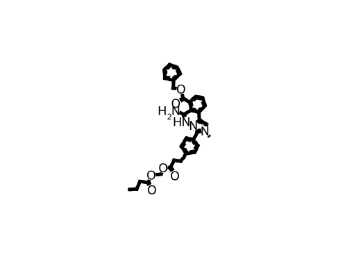 CCCC(=O)OCOC(=O)CCc1ccc(-c2nc(-c3cccc(C(=O)OCc4ccccc4)c3C(=N)N)cn2C)cc1